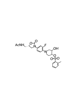 CC(=O)NC[C@H]1CN(c2ccc(N3CCC(OS(=O)(=O)c4ccccc4C)C(O)C3)c(F)c2)C(=O)O1